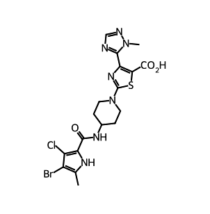 Cc1[nH]c(C(=O)NC2CCN(c3nc(-c4ncnn4C)c(C(=O)O)s3)CC2)c(Cl)c1Br